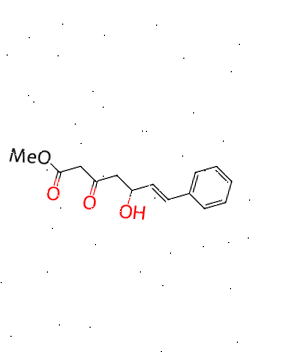 COC(=O)CC(=O)CC(O)C=Cc1ccccc1